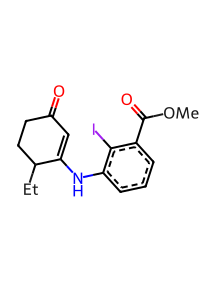 CCC1CCC(=O)C=C1Nc1cccc(C(=O)OC)c1I